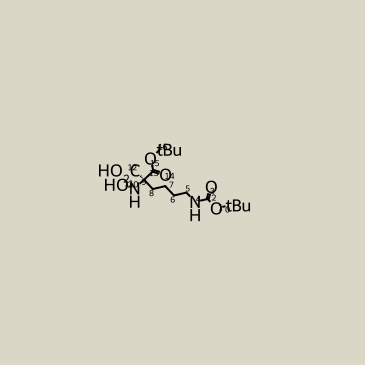 CC(C)(C)OC(=O)NCCCC[C@](NO)(C(=O)O)C(=O)OC(C)(C)C